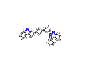 c1ccc(-c2nc(-c3cccc(-c4ccc(-c5ccc6c(c5)ncc5ccccc56)cc4)c3)nc3ccccc23)cc1